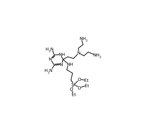 CCO[Si](CCCNC1(CCN(CCN)CCN)N=C(N)N=C(N)N1)(OCC)OCC